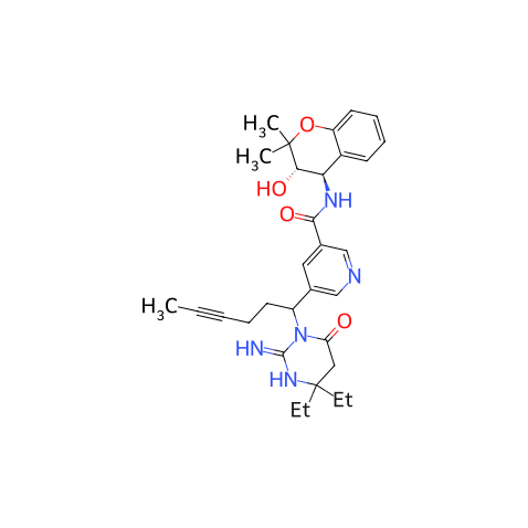 CC#CCCC(c1cncc(C(=O)N[C@@H]2c3ccccc3OC(C)(C)[C@H]2O)c1)N1C(=N)NC(CC)(CC)CC1=O